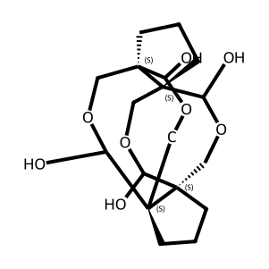 OC1OC[C@]23CCC[C@@]24COC(O)[C@]2(CCC[C@]12COC3O)COC4O